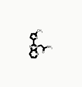 Cc1ccc(-c2nc3cccnc3n2CC(N)=O)s1